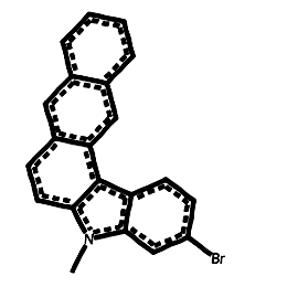 Cn1c2cc(Br)ccc2c2c3cc4ccccc4cc3ccc21